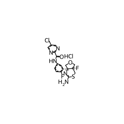 Cl.NC1=N[C@@]2(c3cc(NC(=O)c4ncc(Cl)cn4)ccc3F)COC[C@@]2(F)CS1